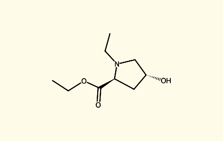 CCOC(=O)[C@@H]1C[C@@H](O)CN1CC